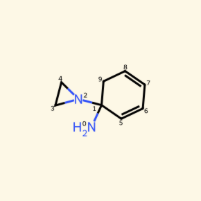 NC1(N2CC2)C=CC=CC1